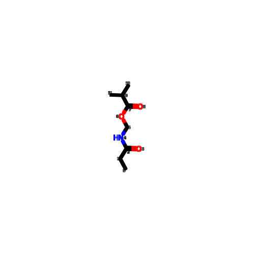 CCC(=O)NCOC(=O)C(C)C